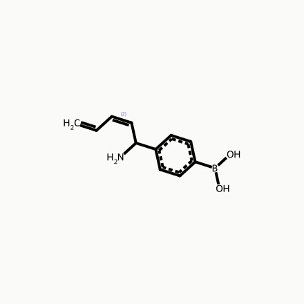 C=C/C=C\C(N)c1ccc(B(O)O)cc1